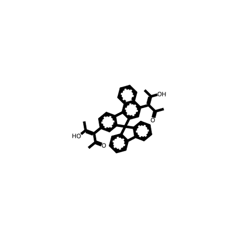 CC(=O)/C(=C(/C)O)c1ccc2c(c1)C1(c3ccccc3-c3ccccc31)c1cc(/C(C(C)=O)=C(\C)O)c3ccccc3c1-2